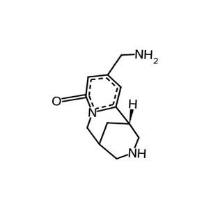 NCc1cc2n(c(=O)c1)CC1CNC[C@@H]2C1